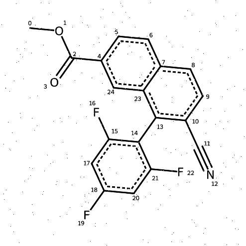 COC(=O)c1ccc2ccc(C#N)c(-c3c(F)cc(F)cc3F)c2c1